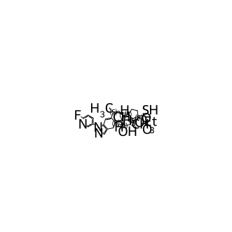 CCC(=O)O[C@]1(C(=O)S)CC[C@H]2[C@@H]3C[C@H](C)C4=Cc5c(cnn5-c5ccc(F)nc5)C[C@]4(C)[C@H]3[C@@H](O)C[C@@]21C